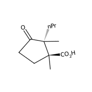 CCC[C@@]1(C)C(=O)CC[C@]1(C)C(=O)O